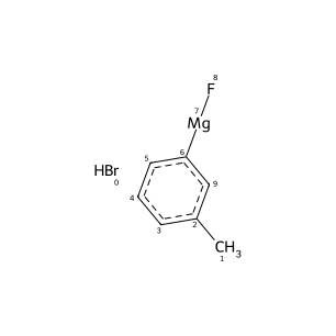 Br.Cc1ccc[c]([Mg][F])c1